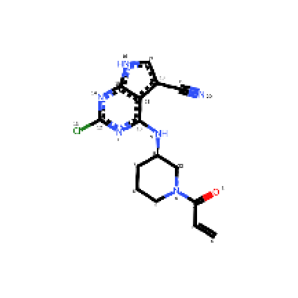 C=CC(=O)N1CCC[C@@H](Nc2nc(Cl)nc3[nH]cc(C#N)c23)C1